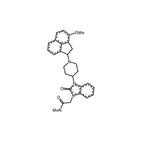 CNC(=O)Cn1c(=O)n(C2CCN(C3Cc4c(OC)ccc5cccc3c45)CC2)c2ccccc21